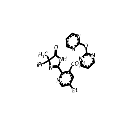 CCc1cnc(C2=NC(C)(C(C)C)C(=O)N2)c(C(=O)O)c1.c1cnc(Oc2ncccn2)nc1